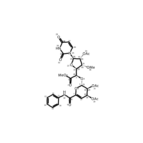 COC(=O)[C@H](O[C@H]1OC(C(=O)Nc2ccccc2)=C[C@H](OC(C)=O)[C@@H]1OC(C)=O)[C@H]1O[C@@H](n2ccc(=O)[nH]c2=O)[C@H](OC(C)=O)[C@@H]1OC